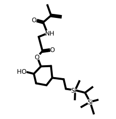 C=C(C)C(=O)NCC(=O)OC1CC(CC[Si](C)(C)C(C)[Si](C)(C)C)CCC1O